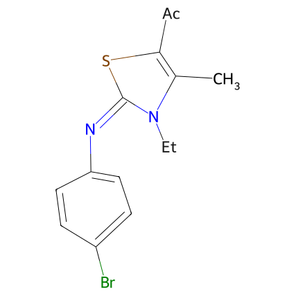 CCn1c(C)c(C(C)=O)sc1=Nc1ccc(Br)cc1